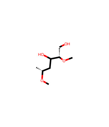 CO[C@H](C)CC(O)[C@H](CO)OC